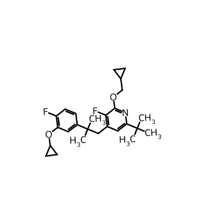 CC(C)(C)c1cc(CC(C)(C)c2ccc(F)c(OC3CC3)c2)c(F)c(OCC2CC2)n1